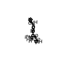 Cc1cc(C)c(CNC(=O)c2cc(-c3ccc(N4CCN(CCNC(=O)C56CC7CC8(C)CC(C)(C5)C786)CC4)nc3)cc(NC(C)C)c2C=N)c(=O)[nH]1